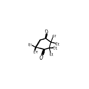 CCC1(CC)CC(=O)C(CC)(CC)C(CC)(CC)C1=O